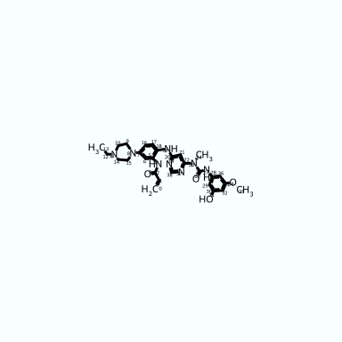 C=CC(=O)Nc1cc(N2CCN(CC)CC2)ccc1Nc1cc(N(C)C(=O)Nc2cc(O)cc(OC)c2)ncn1